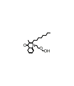 CCCCCCCCC1=C(C)C(=O)C2CC=CC=C2N1CCOCO